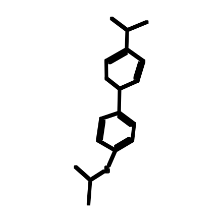 CC(C)Sc1ccc(C2C=CC(C(C)C)=CC2)cc1